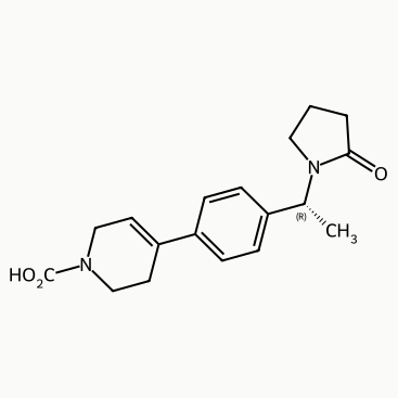 C[C@H](c1ccc(C2=CCN(C(=O)O)CC2)cc1)N1CCCC1=O